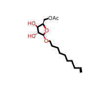 C=CCCCCCCCCO[C@@H]1O[C@H](COC(C)=O)[C@H](O)[C@H]1O